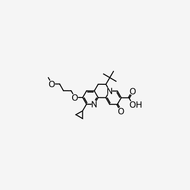 COCCCOc1cc2c(nc1C1CC1)-c1cc(=O)c(C(=O)O)cn1C(C(C)(C)C)C2